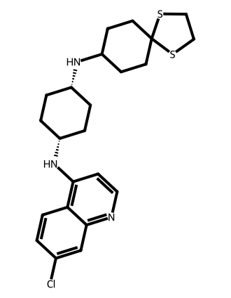 Clc1ccc2c(N[C@H]3CC[C@@H](NC4CCC5(CC4)SCCS5)CC3)ccnc2c1